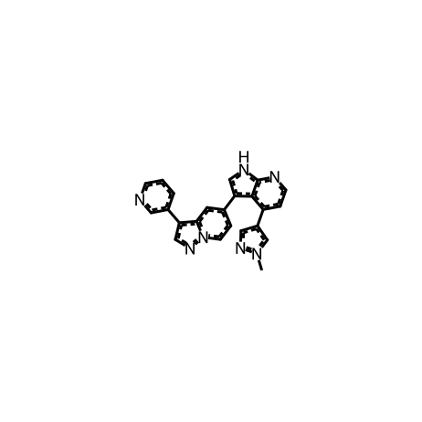 Cn1cc(-c2ccnc3[nH]cc(-c4ccn5ncc(-c6cccnc6)c5c4)c23)cn1